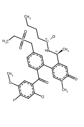 CCCC[S@+]([O-])N[C@@H](C)c1cc(=O)n(C)cc1-c1cc(CS(=O)(=O)CC)ccc1C(=O)c1cc(OC)c(F)cc1Cl